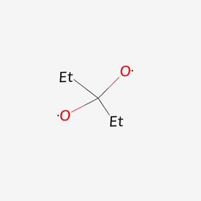 CCC([O])([O])CC